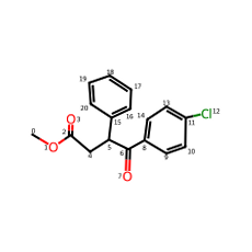 COC(=O)CC(C(=O)c1ccc(Cl)cc1)c1ccccc1